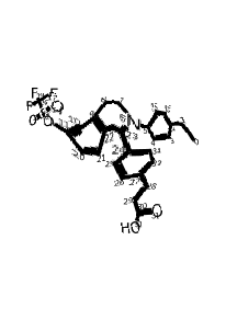 CCc1ccc(N2CCc3cc(OS(=O)(=O)C(F)(F)F)ccc3C2c2ccc(C=CC(=O)O)cc2)cc1